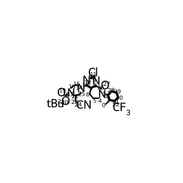 Cc1c(N2CCCc3c(nc(Cl)nc3N3CCN(C(=O)OC(C)(C)C)C(CC#N)C3)C2=O)cccc1C(F)(F)F